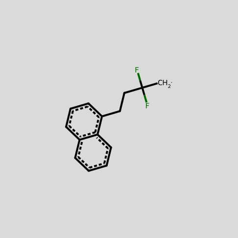 [CH2]C(F)(F)CCc1cccc2ccccc12